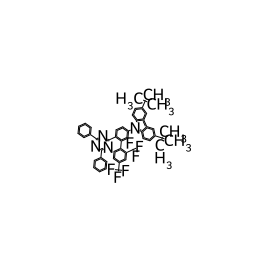 CC(C)(C)c1ccc2c(c1)c1cc(C(C)(C)C)ccc1n2-c1ccc(-c2nc(-c3ccccc3)nc(-c3ccccc3)n2)c(-c2ccc(C(F)(F)F)cc2C(F)(F)F)c1